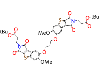 COc1cc2sc3c(c2cc1OCCCOc1cc2c4c(sc2cc1OC)C(=O)N(CCC(=O)OC(C)(C)C)C4=O)C(=O)N(CCC(=O)OC(C)(C)C)C3=O